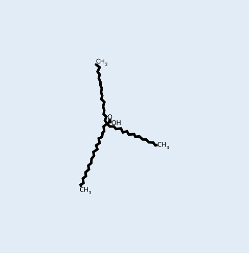 CCCCCCCCCCCCCCCCCCCCC(CCCCCCCCCCCCCCCC)(CCCCCCCCCCCCCCCCCC)C(=O)O